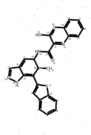 C[C@H]1C(c2cc3ccccc3s2)=c2[nH]ncc2=CC1NC(=O)c1nc2ccccc2nc1O